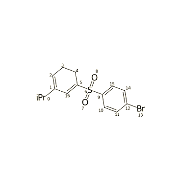 CC(C)C1=CCCC(S(=O)(=O)c2ccc(Br)cc2)=C1